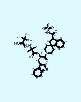 CC(C)(N)C(=O)N[C@H](Cc1c[nH]c2ccccc12)C(=O)N1CCC2(CC1)CC(C(=O)NS(C)(=O)=O)c1ccccc12.O=C(O)C(F)(F)F